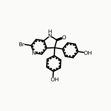 O=C1Nc2cc(Br)ncc2C1(c1ccc(O)cc1)c1ccc(O)cc1